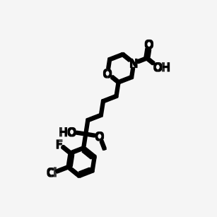 COC(O)(CCCCC1CN(C(=O)O)CCO1)c1cccc(Cl)c1F